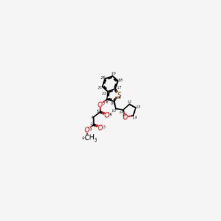 COC(=O)CC(=O)Oc1c(CC2CCCO2)sc2ccccc12